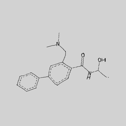 [CH2]C(O)NC(=O)c1ccc(-c2ccccc2)cc1CN(C)C